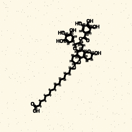 O=C(O)CCCCCCCCCCCCCCOC1CCc2c(c3c(c4c2O[C@H](c2cc(O)c(O)c(O)c2)[C@H](OC(=O)c2cc(O)c(O)c(O)c2)C4)OC(O)CC3)O1